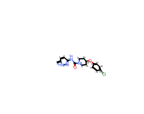 C=C1C=CC(NC(=O)N2CCC(Oc3ccc(Cl)cc3)CC2)=NN1